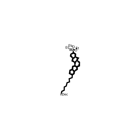 CCCCCCCCCCCCCCCCCCc1ccc2cc3c(ccc4cc5cc([Si](OCC)(OCC)OCC)ccc5cc43)cc2c1